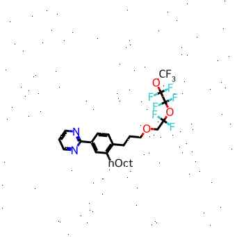 CCCCCCCCc1cc(-c2ncccn2)ccc1CCCOCC(F)(F)OC(F)(F)C(F)(F)OC(F)(F)F